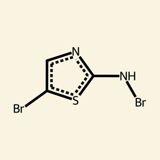 BrNc1ncc(Br)s1